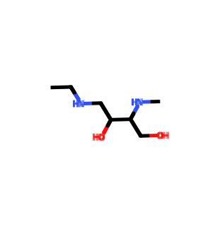 CCNCC(O)C(CO)NC